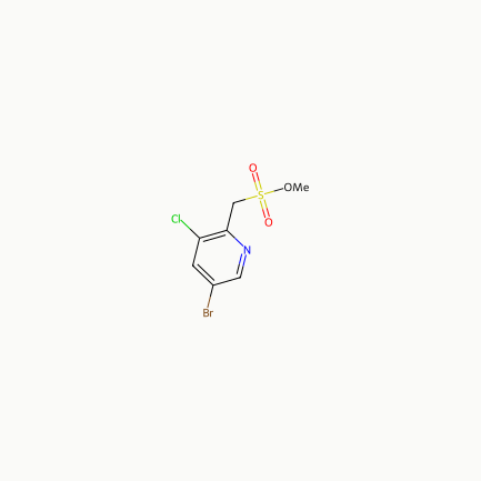 COS(=O)(=O)Cc1ncc(Br)cc1Cl